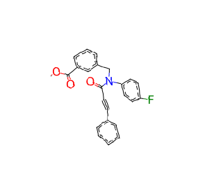 COC(=O)c1cccc(CN(C(=O)C#Cc2ccccc2)c2ccc(F)cc2)c1